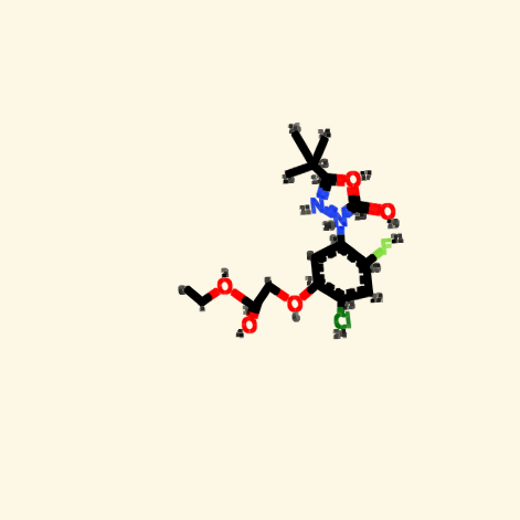 CCOC(=O)COc1cc(-n2nc(C(C)(C)C)oc2=O)c(F)cc1Cl